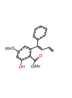 C=CC=C(c1ccccc1)c1cc(OC)cc(O)c1C(=O)OC